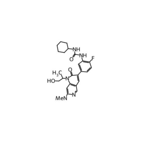 CNc1cc2c(cn1)cc(-c1ccc(F)c(NC(=O)NC3CCCCC3)c1)c(=O)n2C(C)CO